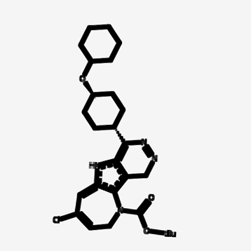 CC(C)(C)OC(=O)N1CC=C(Cl)C=c2[nH]c3c(c21)CN=NC=3[C@H]1CC[C@H](OC2CCCCC2)CC1